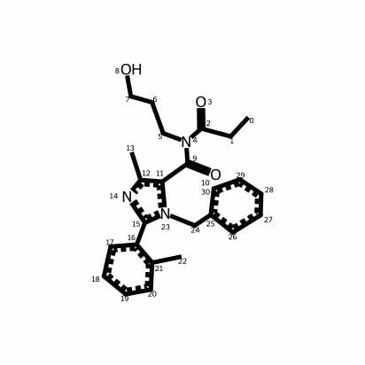 CCC(=O)N(CCCO)C(=O)c1c(C)nc(-c2ccccc2C)n1Cc1ccccc1